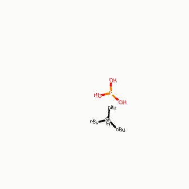 CCC[CH2][SnH]([CH2]CCC)[CH2]CCC.OP(O)O